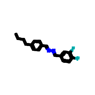 CCCCc1ccc(/C=N/N=C/c2ccc(F)c(F)c2)cc1